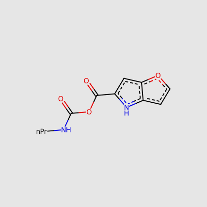 CCCNC(=O)OC(=O)c1cc2occc2[nH]1